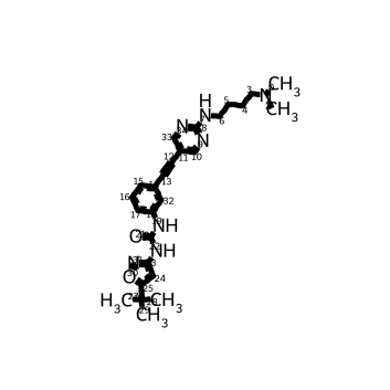 CN(C)CCCCNc1ncc(C#Cc2cccc(NC(=O)Nc3cc(C(C)(C)C)on3)c2)cn1